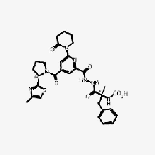 Cc1csc([C@H]2CCCN2C(=O)c2cc(C(=O)NNC(=O)[C@@](C)(Cc3ccccc3)NC(=O)O)nc(N3CCCCC3=O)c2)n1